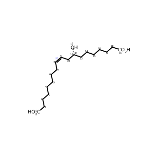 O=C(O)CCCCCCC/C=C\C[C@H](O)CCCCCCC(=O)O